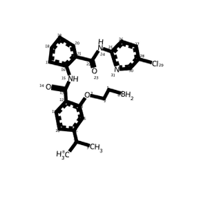 BCCOc1cc(C(C)C)ccc1C(=O)Nc1ccccc1C(=O)Nc1ccc(Cl)cn1